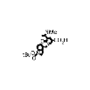 C=C(NC)c1cc(C(=O)O)cn(Cc2cccc3c2CCN3C(=O)OC(C)(C)C)c1=O